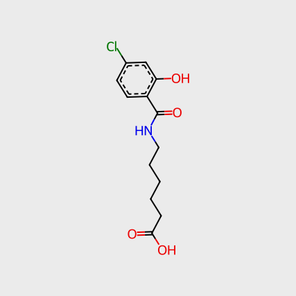 O=C(O)CCCCCNC(=O)c1ccc(Cl)cc1O